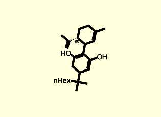 C=C(C)[C@@H]1CCC(C)=CC1C1=C(O)CC(C(C)(C)CCCCCC)C=C1O